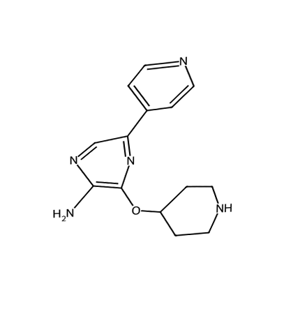 Nc1ncc(-c2ccncc2)nc1OC1CCNCC1